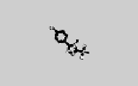 Cn1c(-c2ccc(Cl)cc2)nnc1S(C)(=O)=O